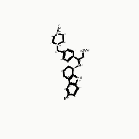 COCC(N[C@@H]1CCCc2c1[nH]c1ccc(Br)cc21)c1ccc(CN2CCN(C(C)=O)CC2)cc1